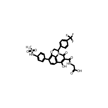 CS(=O)(=O)Nc1ccc(-c2ccc3c(O)c(C(=O)NCC(=O)O)c(=O)n4c3c2OCC4c2ccc(C(F)(F)F)cc2)cc1